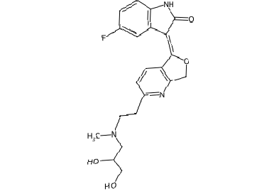 CN(CCc1ccc2c(n1)CO/C2=C1\C(=O)Nc2ccc(F)cc21)CC(O)CO